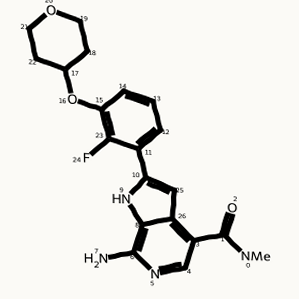 CNC(=O)c1cnc(N)c2[nH]c(-c3cccc(OC4CCOCC4)c3F)cc12